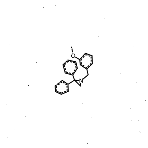 COc1cccc(CN2CC2(c2ccccc2)c2ccccc2)c1